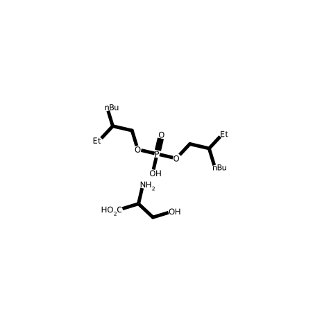 CCCCC(CC)COP(=O)(O)OCC(CC)CCCC.NC(CO)C(=O)O